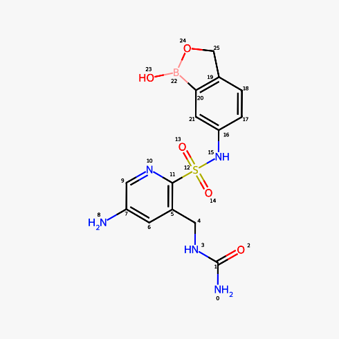 NC(=O)NCc1cc(N)cnc1S(=O)(=O)Nc1ccc2c(c1)B(O)OC2